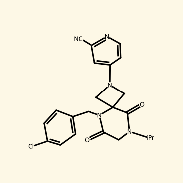 CC(C)N1CC(=O)N(Cc2ccc(Cl)cc2)C2(CN(c3ccnc(C#N)c3)C2)C1=O